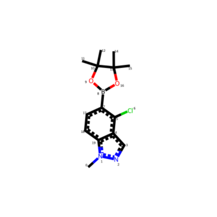 Cn1ncc2c(Cl)c(B3OC(C)(C)C(C)(C)O3)ccc21